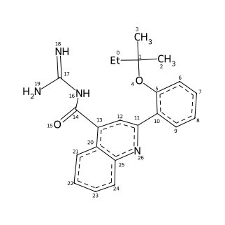 CCC(C)(C)Oc1ccccc1-c1cc(C(=O)NC(=N)N)c2ccccc2n1